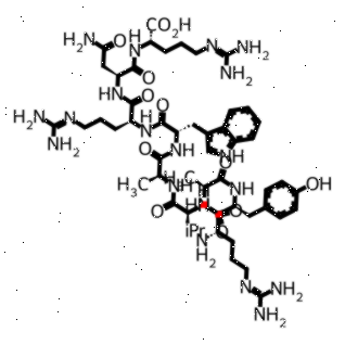 CC(C)[C@H](NC(=O)[C@H](Cc1ccc(O)cc1)NC(=O)[C@H](C)NC(=O)[C@@H](N)CCCN=C(N)N)C(=O)N[C@@H](C)C(=O)N[C@@H](Cc1c[nH]c2ccccc12)C(=O)N[C@@H](CCCN=C(N)N)C(=O)N[C@@H](CC(N)=O)C(=O)N[C@@H](CCCN=C(N)N)C(=O)O